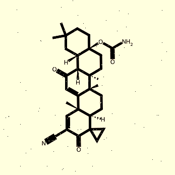 CC1(C)CC[C@]2(OC(N)=O)CC[C@]3(C)[C@H](C(=O)C=C4[C@@]5(C)C=C(C#N)C(=O)C6(CC6)[C@@H]5CC[C@]43C)[C@@H]2C1